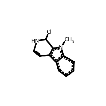 Cn1c2c(c3ccccc31)C=CNC2Cl